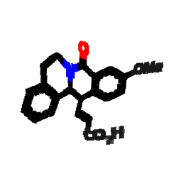 COc1ccc2c(c1)C(=O)N1CCc3ccccc3C1C2C=CC(=O)O